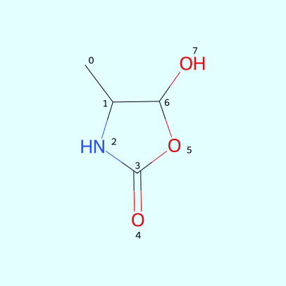 CC1NC(=O)OC1O